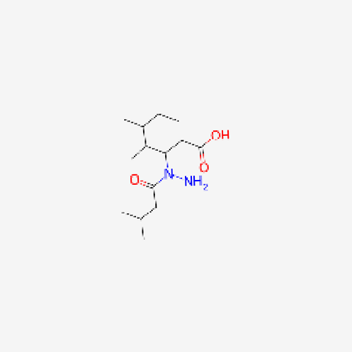 CCC(C)C(C)C(CC(=O)O)N(N)C(=O)CC(C)C